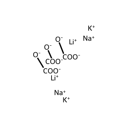 O=C([O-])[O-].O=C([O-])[O-].O=C([O-])[O-].[K+].[K+].[Li+].[Li+].[Na+].[Na+]